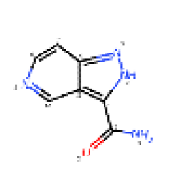 NC(=O)c1[nH]nc2ccncc12